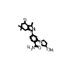 Cc1nn(-c2ccc(C(N)=O)c(N3CCC(O)C3)c2)c2c1C(=O)CC(C)(C)C2